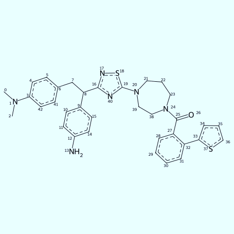 CN(C)c1ccc(CC(c2ccc(N)cc2)c2nsc(N3CCCN(C(=O)c4ccccc4-c4cccs4)CC3)n2)cc1